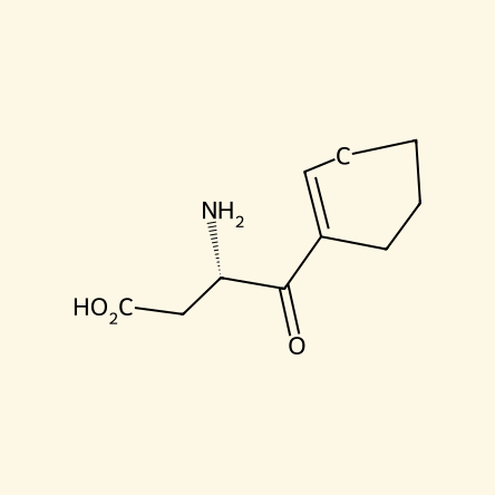 N[C@@H](CC(=O)O)C(=O)C1=CCCCC1